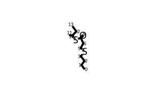 CCCCSCCC(=O)SC(C)CC